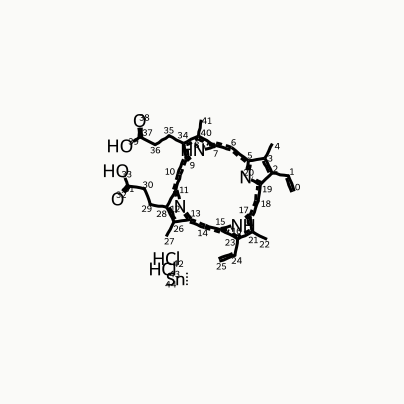 C=CC1=C(C)c2cc3[nH]c(cc4nc(cc5[nH]c(cc1n2)c(C)c5C=C)C(C)=C4CCC(=O)O)c(CCC(=O)O)c3C.Cl.Cl.[Sn]